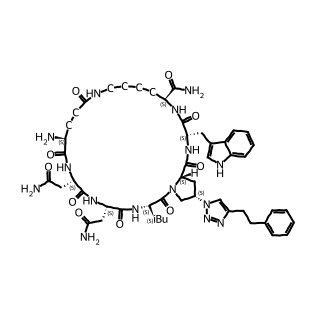 CC[C@H](C)[C@@H]1NC(=O)[C@H](CC(N)=O)NC(=O)[C@H](CC(N)=O)NC(=O)[C@@H](N)CCC(=O)NCCCC[C@@H](C(N)=O)NC(=O)[C@H](Cc2c[nH]c3ccccc23)NC(=O)[C@@H]2C[C@H](n3cc(CCc4ccccc4)nn3)CN2C1=O